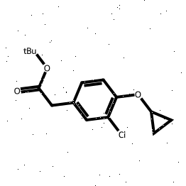 CC(C)(C)OC(=O)Cc1ccc(OC2CC2)c(Cl)c1